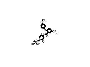 O=C(Nc1ccn(COP(=O)(O)O)c(=O)c1)c1cc(C(F)(F)F)ccc1Oc1ccc(OC(F)(F)F)cc1